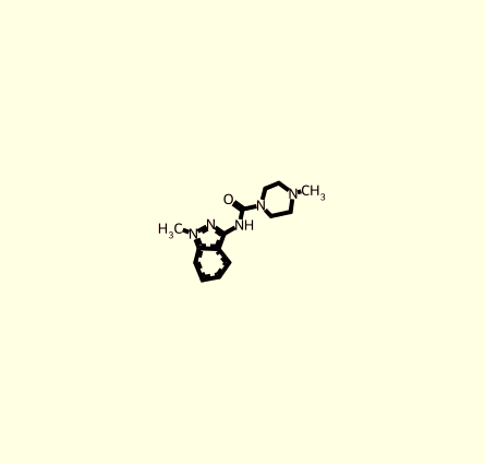 CN1CCN(C(=O)Nc2nn(C)c3ccccc23)CC1